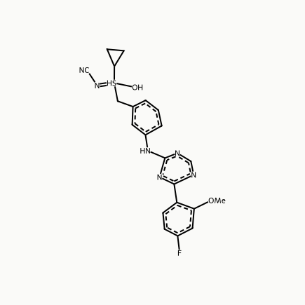 COc1cc(F)ccc1-c1ncnc(Nc2cccc(C[SH](O)(=NC#N)C3CC3)c2)n1